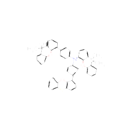 CC1(C)c2ccccc2Oc2c(-c3ccc(N(c4ccc(-c5cccc6c5Oc5ccccc5S6)cc4)c4cccc5c4Oc4ccccc4[Si]5(C)C)cc3)cccc21